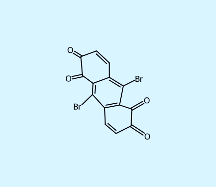 O=c1ccc2c(Br)c3c(=O)c(=O)ccc3c(Br)c2c1=O